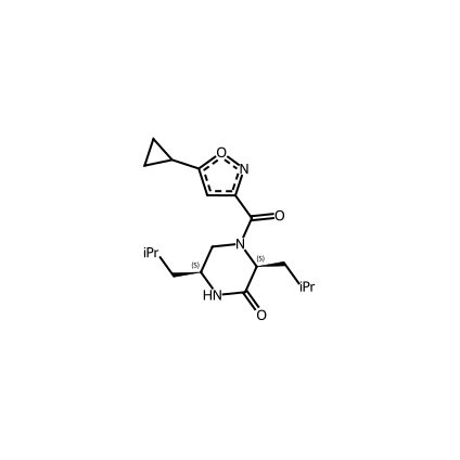 CC(C)C[C@H]1CN(C(=O)c2cc(C3CC3)on2)[C@@H](CC(C)C)C(=O)N1